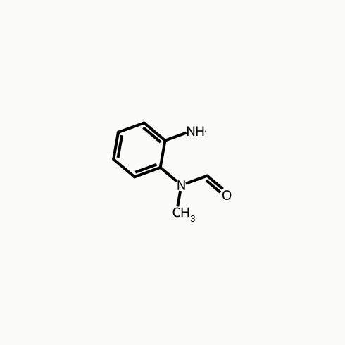 CN(C=O)c1ccccc1[NH]